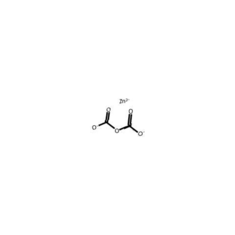 O=C([O-])OC(=O)[O-].[Zn+2]